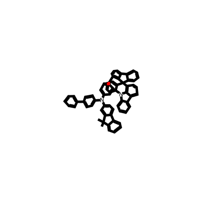 CC1(C)c2ccccc2-c2ccc(N(c3ccc(-c4ccccc4)cc3)c3ccc(-c4cccc5c4C4(c6ccccc6-5)c5ccccc5-n5c6ccccc6c6cccc4c65)cc3)cc21